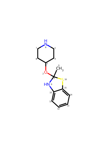 CC1(OC2CCNCC2)Nc2ccccc2S1